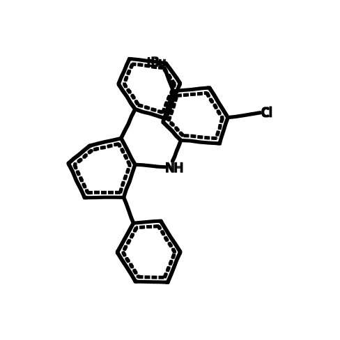 CC(C)(C)c1cc(Cl)cc(Nc2c(-c3ccccc3)cccc2-c2ccccc2)c1